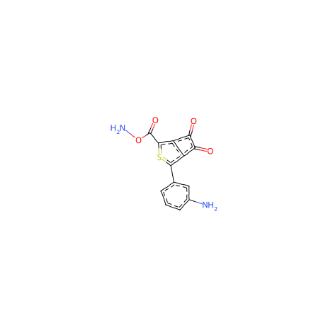 NOC(=O)c1sc(-c2cccc(N)c2)c2c(=O)c(=O)c12